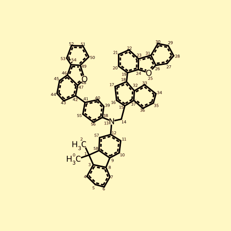 CC1(C)c2ccccc2-c2ccc(N(Cc3ccc(-c4cccc5c4oc4ccccc45)c4ccccc34)c3ccc(-c4cccc5c4oc4ccccc45)cc3)cc21